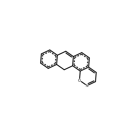 C1=NOc2c3c(ccc2=C1)=Cc1ccccc1C3